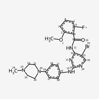 COc1cccc(F)c1C(=O)Nc1nc(Nc2ccc(N3CCN(C)CC3)cc2)ncc1Br